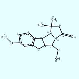 COc1ccc2c(c1)CC1C(CO)N3C(=O)CC(C)(C)N3C21